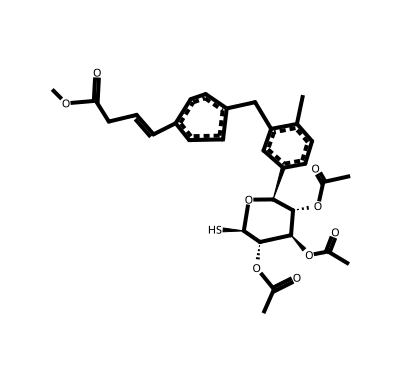 COC(=O)C/C=C/c1ccc(Cc2cc([C@@H]3O[C@H](S)[C@@H](OC(C)=O)[C@H](OC(C)=O)[C@H]3OC(C)=O)ccc2C)cc1